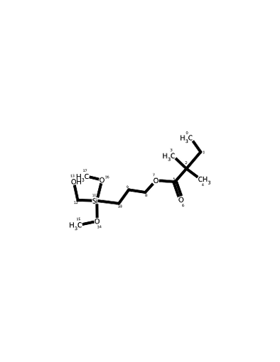 CCC(C)(C)C(=O)OCCC[Si](CO)(OC)OC